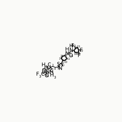 CC(C)(CCc1ncc(-c2ccc(NC(=O)Nc3cc(F)c(F)cc3F)cc2)s1)C(=O)NS(=O)(=O)C(F)(F)F